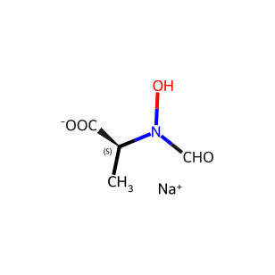 C[C@@H](C(=O)[O-])N(O)C=O.[Na+]